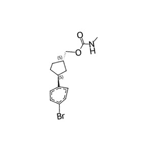 CNC(=O)OC[C@H]1CC[C@H](c2ccc(Br)cc2)C1